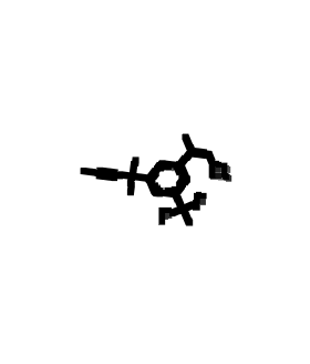 CC#CC(C)(C)c1cc(/C(C)=C\CC)cc(C(C)(F)F)c1